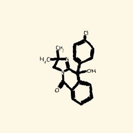 CC1(C)CN2C(=O)c3ccccc3C(O)(c3ccc(Cl)cc3)C2=N1